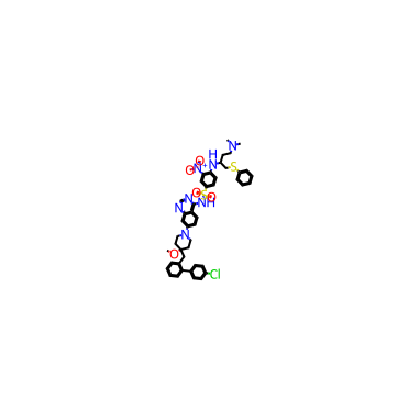 COC1(Cc2ccccc2-c2ccc(Cl)cc2)CCN(c2ccc3c(NS(=O)(=O)c4ccc(NC(CCN(C)C)CSc5ccccc5)c([N+](=O)[O-])c4)ncnc3c2)CC1